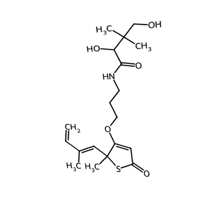 C=C/C(C)=C/C1(C)SC(=O)C=C1OCCCNC(=O)C(O)C(C)(C)CO